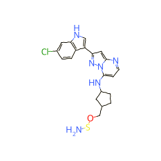 NSOCC1CCC(Nc2ccnc3cc(-c4c[nH]c5cc(Cl)ccc45)nn23)C1